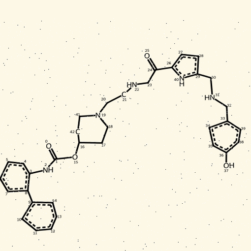 O=C(Nc1ccccc1-c1ccccc1)OC1CCN(CCNCC(=O)c2ccc(CNCc3ccc(O)cc3)[nH]2)CC1